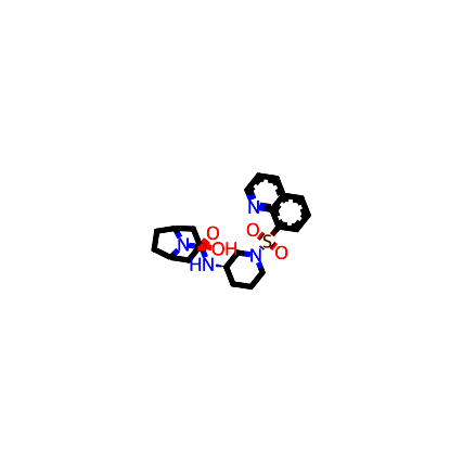 O=C(N[C@H]1CCCN(S(=O)(=O)c2cccc3cccnc23)C1)N1C2CCC1CC(O)C2